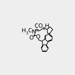 CN(C(=O)OCC1c2ccccc2-c2ccccc21)[C@@H](CCC1CCCC1)C(=O)O